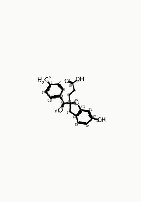 Cc1ccc(C(=O)C2(CCC(=O)O)Cc3ccc(O)cc3O2)cc1